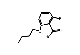 CCCCOc1cccc(F)c1C(=O)O